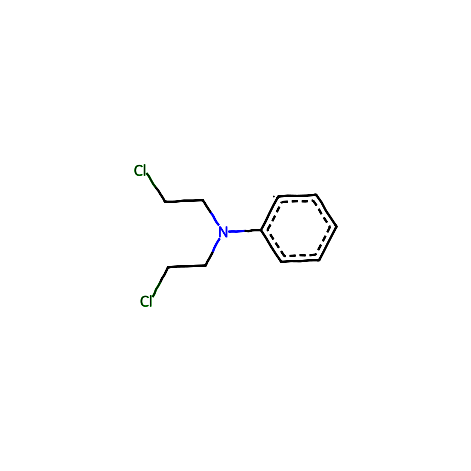 ClCCN(CCCl)c1[c]cccc1